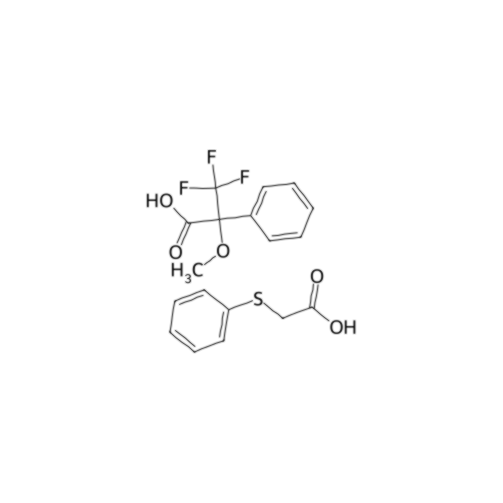 COC(C(=O)O)(c1ccccc1)C(F)(F)F.O=C(O)CSc1ccccc1